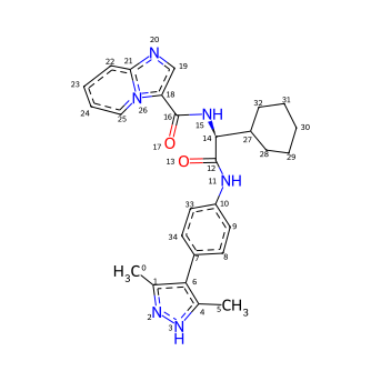 Cc1n[nH]c(C)c1-c1ccc(NC(=O)[C@@H](NC(=O)c2cnc3ccccn23)C2CCCCC2)cc1